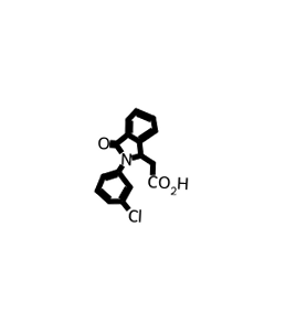 O=C(O)CC1c2ccccc2C(=O)N1c1cccc(Cl)c1